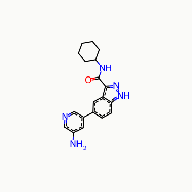 Nc1cncc(-c2ccc3[nH]nc(C(=O)NC4CCCCC4)c3c2)c1